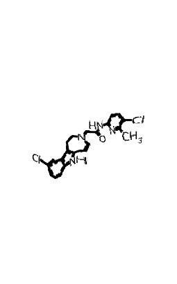 Cc1nc(NC(=O)CN2CCc3[nH]c4ccc(Cl)cc4c3CC2)ccc1Cl